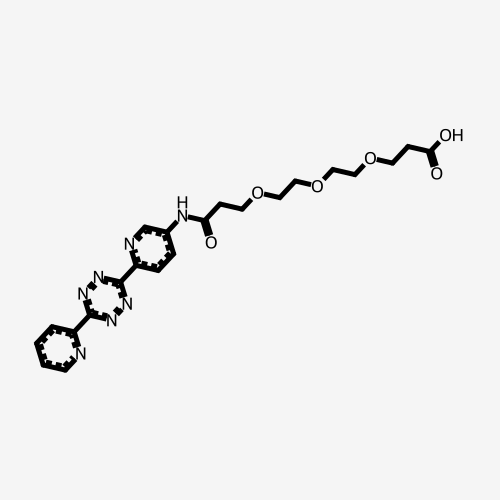 O=C(O)CCOCCOCCOCCC(=O)Nc1ccc(-c2nnc(-c3ccccn3)nn2)nc1